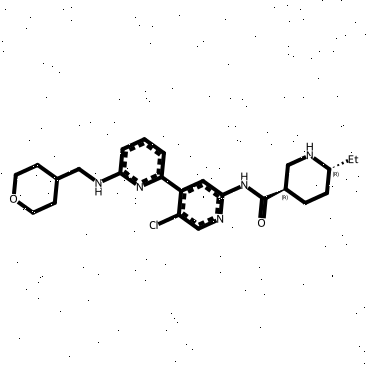 CC[C@@H]1CC[C@@H](C(=O)Nc2cc(-c3cccc(NCC4CCOCC4)n3)c(Cl)cn2)CN1